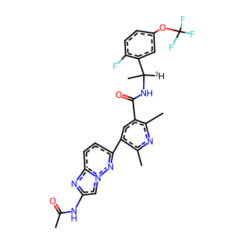 [2H]C(C)(NC(=O)c1cc(-c2ccc3nc(NC(C)=O)cn3n2)c(C)nc1C)c1cc(OC(F)(F)F)ccc1F